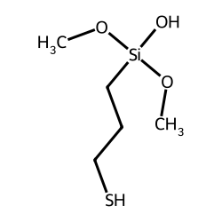 CO[Si](O)(CCCS)OC